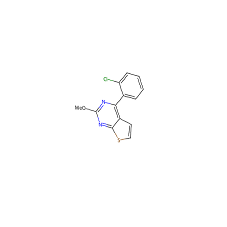 COc1nc(-c2ccccc2Cl)c2ccsc2n1